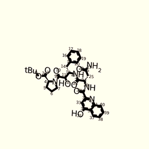 CC(C)(C)OC(=O)[C@@H]1CCCN1C(=O)C(O)[C@H](Cc1ccccc1)NC(=O)[C@H](CC(N)=O)NC(=O)c1cc(O)c2ccccc2n1